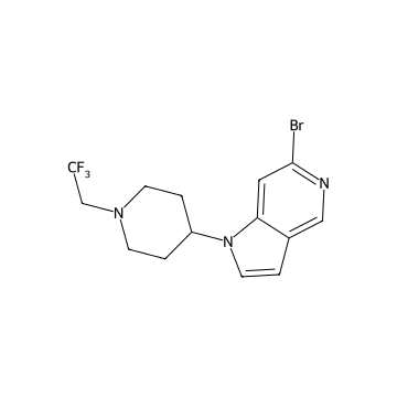 FC(F)(F)CN1CCC(n2ccc3cnc(Br)cc32)CC1